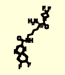 N[C@@H](CCCCNC(=O)c1cnc2cc(F)c(F)cc2n1)C(=O)N1CC(F)(F)C1